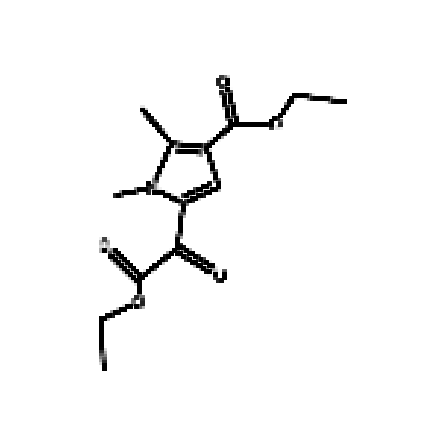 CCOC(=O)C(=O)c1cc(C(=O)OCC)c(C)n1C